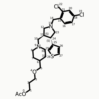 CC(=O)OCCCOCC1CCN(C[C@H]2CN(Cc3ccc(Cl)cc3Cl)C[C@@H]2c2ccsc2)CC1